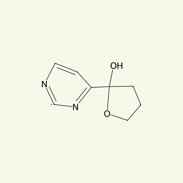 OC1(c2ccn[c]n2)CCCO1